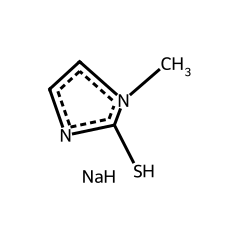 Cn1ccnc1S.[NaH]